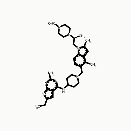 Cc1c(CN2CCC(Nc3nc(N)nc4sc(CC(F)(F)F)cc34)CC2)ccc2c1cc(C)n2C[C@H](C)N1CCN(C=O)CC1